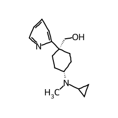 CN(C1CC1)[C@H]1CC[C@](CO)(c2ccccn2)CC1